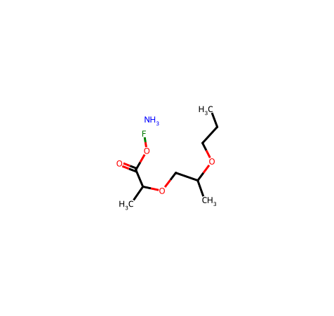 CCCOC(C)COC(C)C(=O)OF.N